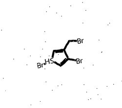 BrCC1=C[SH](Br)C=C1Br